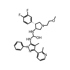 COCCN1C[C@@H](NC(O)Nc2c(C)c(-c3cccnc3C)nn2-c2ccccc2)[C@H](c2ccc(F)c(F)c2)C1